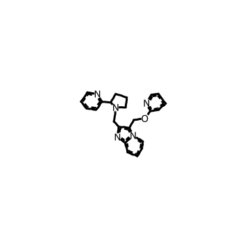 c1ccc(OCc2c(CN3CCCC3c3ccccn3)nc3ccccn23)nc1